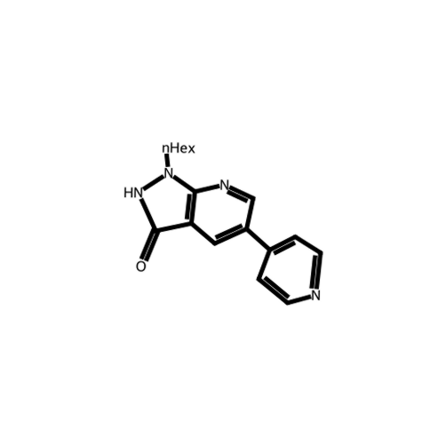 CCCCCCn1[nH]c(=O)c2cc(-c3ccncc3)cnc21